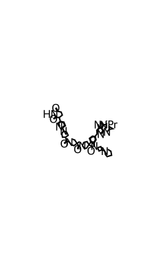 CC(C)n1cnc2cc(-c3ccc4c(c3)N(C3CC(N5CCCCC5)C3)C(=O)C43CCN(C(=O)C4(C)CCN(C(=O)C5CCN(c6ccc(C7CCC(=O)NC7=O)cn6)CC5)CC4)CC3)nc(N(C)C3CC3)c21